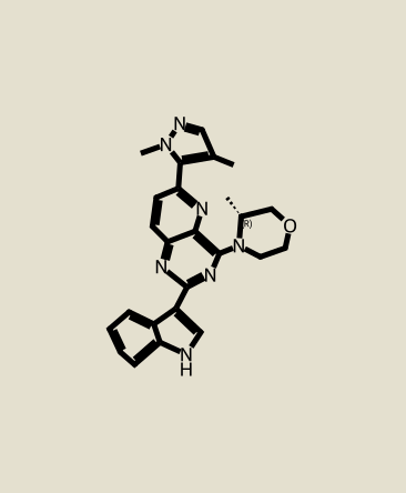 Cc1cnn(C)c1-c1ccc2nc(-c3c[nH]c4ccccc34)nc(N3CCOC[C@H]3C)c2n1